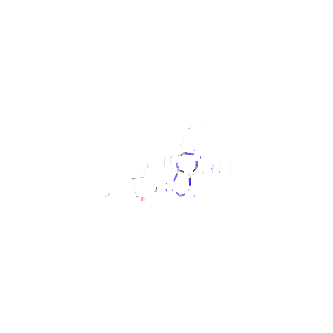 CC(C)Oc1nc(N)c2ncn([C@@H]3O[C@H](CO)CC3O)c2n1